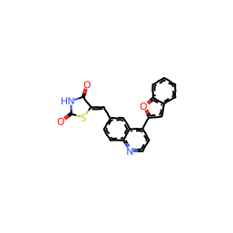 O=C1NC(=O)/C(=C/c2ccc3nccc(-c4cc5ccccc5o4)c3c2)S1